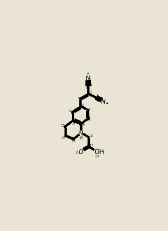 N#CC(C#N)=Cc1ccc2c(c1)CCCN2CC(=O)O